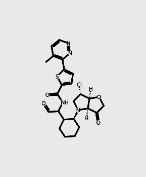 Cc1ccnnc1-c1ccc(C(=O)NC(C=O)C2CCCC[C@@H]2N2C[C@H](Cl)[C@H]3OCC(=O)[C@H]32)s1